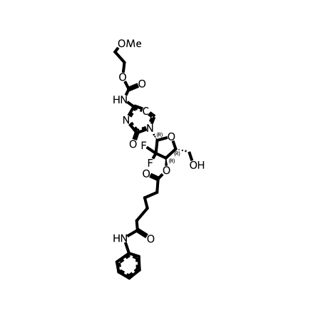 COCCOC(=O)Nc1ccn([C@@H]2O[C@H](CO)[C@@H](OC(=O)CCCCC(=O)Nc3ccccc3)C2(F)F)c(=O)n1